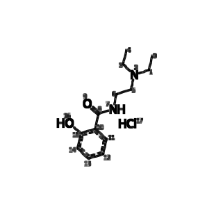 CCN(CC)CCNC(=O)c1ccccc1O.Cl